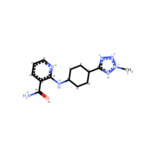 Cn1nnc(C2CCC(Nc3ncccc3C(N)=O)CC2)n1